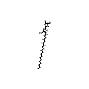 CCCCCCCCCCCCCCCCCCCCc1nc(-c2nc(C)c(Br)s2)sc1Br